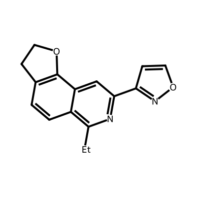 CCc1nc(-c2ccon2)cc2c3c(ccc12)CCO3